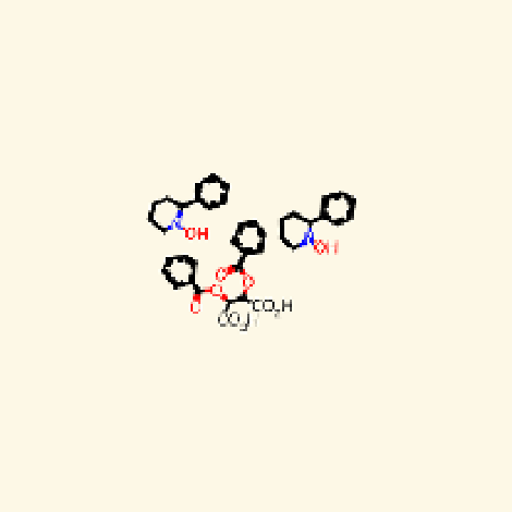 O=C(OC(C(=O)O)C(OC(=O)c1ccccc1)C(=O)O)c1ccccc1.ON1CCCCC1c1ccccc1.ON1CCCCC1c1ccccc1